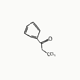 O=C(CC(Cl)(Cl)Cl)c1ccccc1